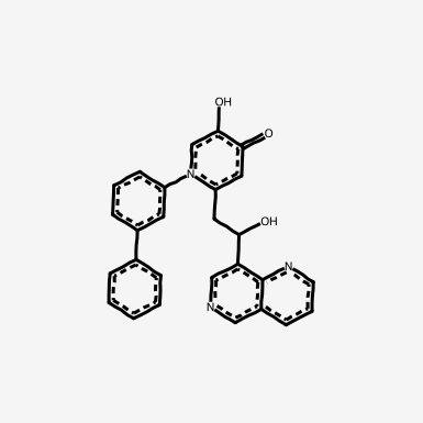 O=c1cc(CC(O)c2cncc3cccnc23)n(-c2cccc(-c3ccccc3)c2)cc1O